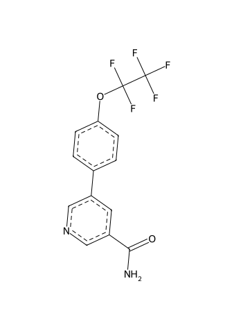 NC(=O)c1cncc(-c2ccc(OC(F)(F)C(F)(F)F)cc2)c1